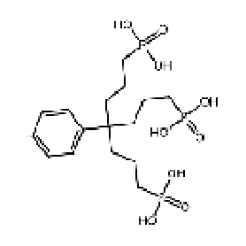 O=P(O)(O)CCCC(CCCP(=O)(O)O)(CCCP(=O)(O)O)c1cc[c]cc1